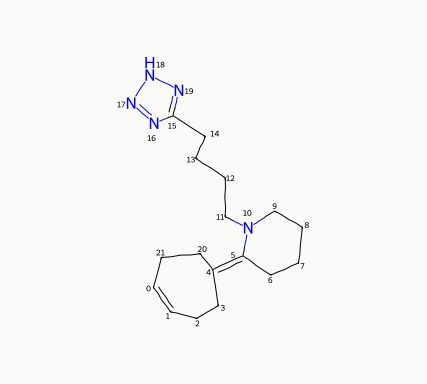 C1=CCCC(=C2CCCCN2CCCCc2nn[nH]n2)CC1